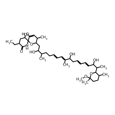 CCC1CC(C)C2(NC1=O)OC(CC(O)C(C)CC/C=C/C=C(\C)C(O)C/C=C/C=C/C(O)C(C)C1OC(C)(OC)CCC1C)C(C)C=C2C